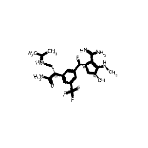 CNC1=C(C(=N)N)[C@H](C(F)c2cc([C@@H](CNC(C)C)C(N)=O)cc(C(F)(F)F)c2)C[C@@H]1O